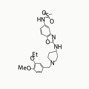 CCOc1cc(CN2CCC(Nc3nc4cc(NS(C)(=O)=O)ccc4o3)CC2)ccc1OC